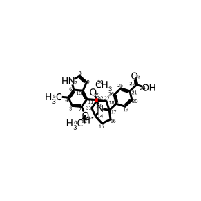 COc1cc(C)c2[nH]ccc2c1CN1[C@H]2CCC1(c1ccc(C(=O)O)cc1)C[C@H](OC)C2